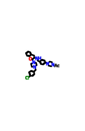 CC(=O)N1CCN(c2ccc(CNC(Cc3ccccc3)C(=O)N3CCN(Cc4ccc(Cl)cc4)CC3)cc2)CC1